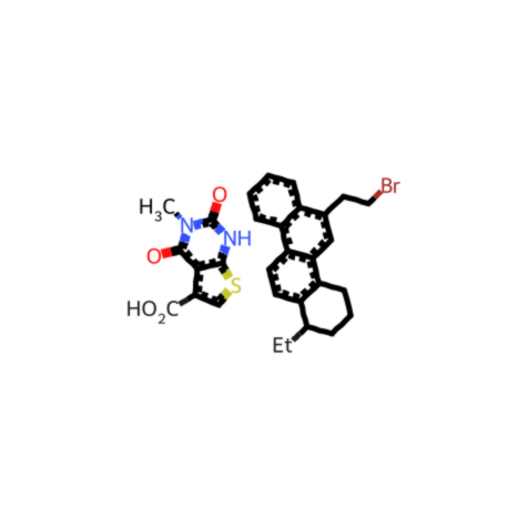 CCC1CCCc2c1ccc1c2cc(CCBr)c2ccccc21.Cn1c(=O)[nH]c2scc(C(=O)O)c2c1=O